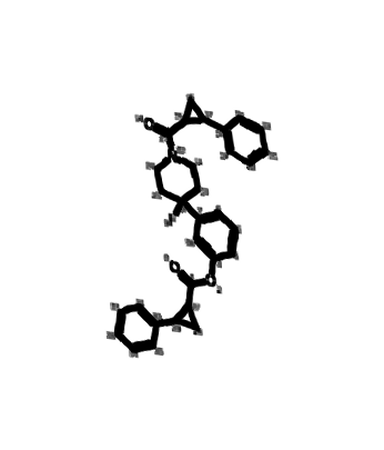 O=C(Oc1cccc(C2(F)CCN(C(=O)C3CC3c3ccccc3)CC2)c1)C1CC1c1ccccc1